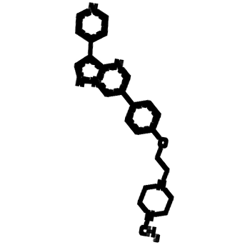 CN1CCN(CCOc2ccc(-c3cnc4c(-c5ccncc5)cnn4c3)cc2)CC1